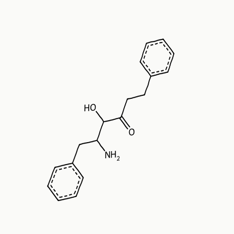 NC(Cc1ccccc1)C(O)C(=O)CCc1ccccc1